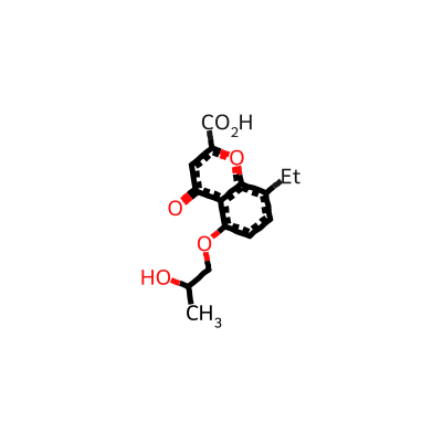 CCc1ccc(OCC(C)O)c2c(=O)cc(C(=O)O)oc12